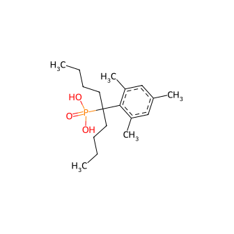 CCCCC(CCCC)(c1c(C)cc(C)cc1C)P(=O)(O)O